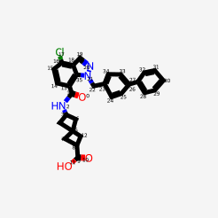 O=C(NC1CC2(C1)CC(C(=O)O)C2)c1ccc(Cl)c2cnn(Cc3ccc(-c4ccccc4)cc3)c12